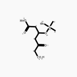 COC(=O)CC(CC(=O)CC(=O)O)O[Si](C)(C)C(C)(C)C